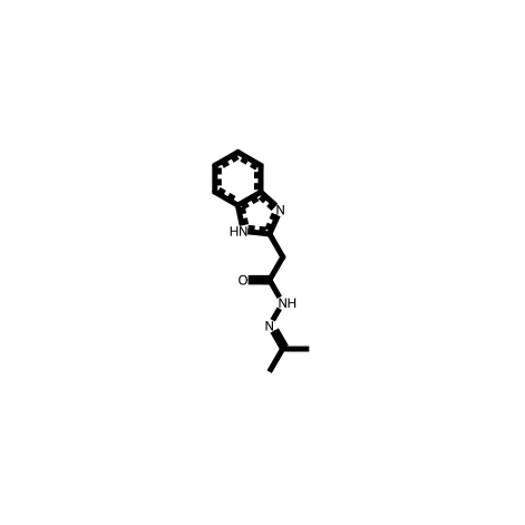 CC(C)=NNC(=O)Cc1nc2ccccc2[nH]1